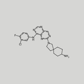 NC1CCC2(CC1)CCN(c1ncc3ncnc(Nc4ccc(F)c(Cl)c4)c3n1)C2